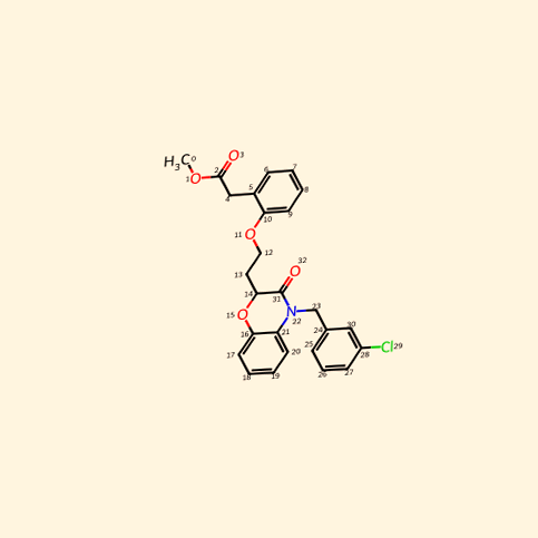 COC(=O)Cc1ccccc1OCCC1Oc2ccccc2N(Cc2cccc(Cl)c2)C1=O